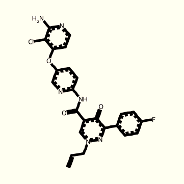 C=CCn1cc(C(=O)Nc2ccc(Oc3ccnc(N)c3Cl)cn2)c(=O)c(-c2ccc(F)cc2)n1